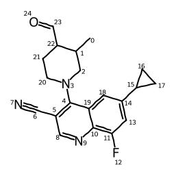 CC1CN(c2c(C#N)cnc3c(F)cc(C4CC4)cc23)CCC1C=O